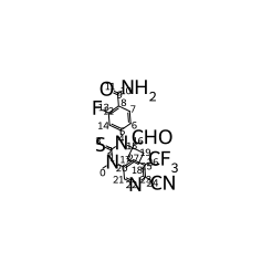 CN(C(=S)N(c1ccc(C(N)=O)c(F)c1)C1(C=O)CCC1)c1cnc(C#N)c(C(F)(F)F)c1